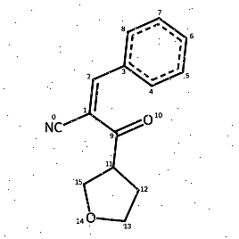 N#C/C(=C/c1ccccc1)C(=O)C1CCOC1